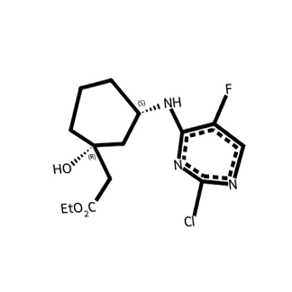 CCOC(=O)C[C@@]1(O)CCC[C@H](Nc2nc(Cl)ncc2F)C1